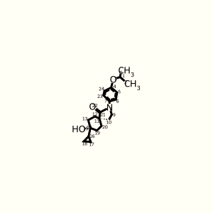 CC(C)Oc1ccc(N2CC[C@]3(CC[C@](O)(C4CC4)CC3)C2=O)cc1